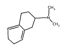 CN(C)C1CCC2=CCCC=C2C1